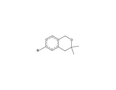 CC1(C)Cc2cc(Br)ccc2CO1